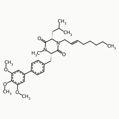 CCCCCC=CCN1C(=O)[C@H](Cc2ccc(-c3cc(OC)c(OC)c(OC)c3)cc2)N(C)C(=O)[C@@H]1CC(C)C